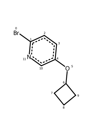 Brc1ccc(OC2CCC2)cn1